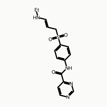 CCNC=CCS(=O)(=O)c1ccc(NC(=O)c2ccncn2)cc1